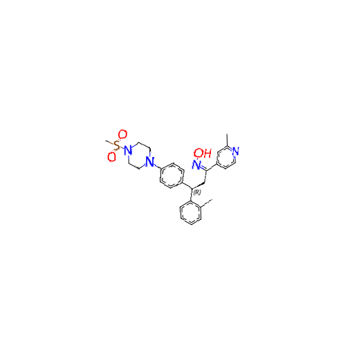 Cc1cc(C(C[C@H](c2ccc(N3CCN(S(C)(=O)=O)CC3)cc2)c2ccccc2C)=NO)ccn1